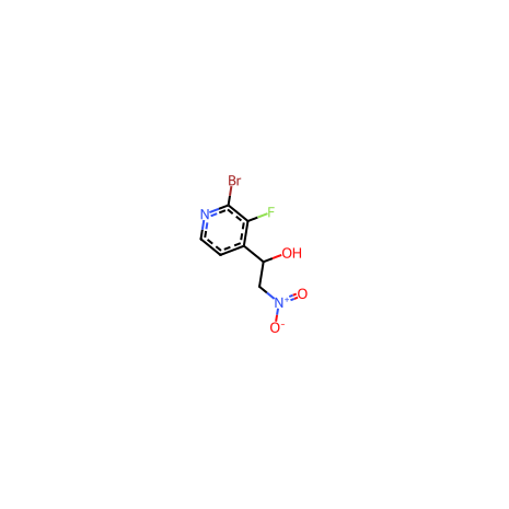 O=[N+]([O-])CC(O)c1ccnc(Br)c1F